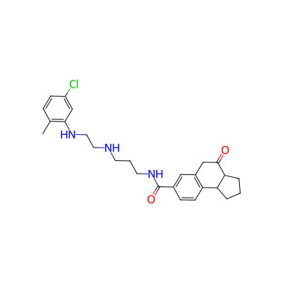 Cc1ccc(Cl)cc1NCCNCCCNC(=O)c1ccc2c(c1)CC(=O)C1CCCC21